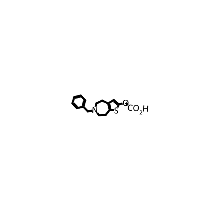 O=C(O)Oc1cc2c(s1)CCN(Cc1ccccc1)CC2